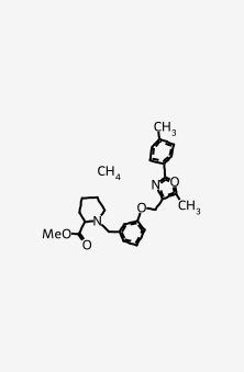 C.COC(=O)C1CCCCN1Cc1cccc(OCc2nc(-c3ccc(C)cc3)oc2C)c1